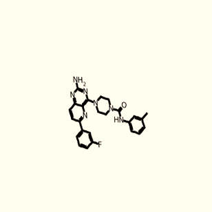 Cc1cccc(NC(=O)N2CCN(c3nc(N)nc4ccc(-c5cccc(F)c5)nc34)CC2)c1